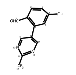 O=Cc1ccc(F)cc1-c1cnc(C(F)(F)F)nc1